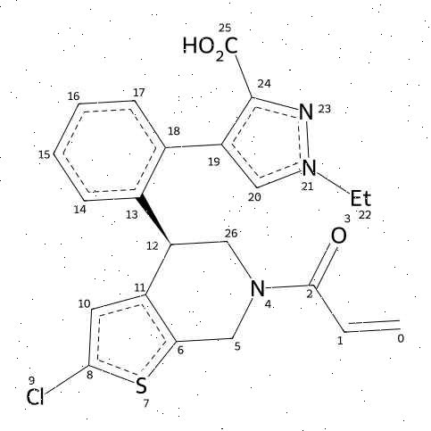 C=CC(=O)N1Cc2sc(Cl)cc2[C@@H](c2ccccc2-c2cn(CC)nc2C(=O)O)C1